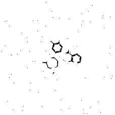 COC(=O)c1cccnc1NC[C@@H]1CN(C(=O)O)CC(C(C)(C)C)O[C@H]1c1ccc(Cl)c(Cl)c1